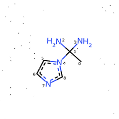 CC(N)(N)n1ccnc1